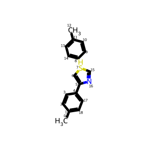 Cc1ccc(C2=C[SH](c3ccc(C)cc3)C=N2)cc1